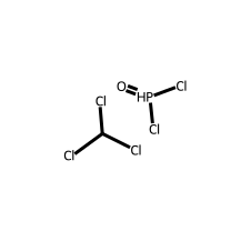 ClC(Cl)Cl.O=[PH](Cl)Cl